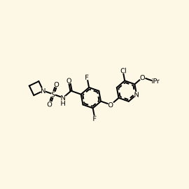 CC(C)Oc1ncc(Oc2cc(F)c(C(=O)NS(=O)(=O)N3CCC3)cc2F)cc1Cl